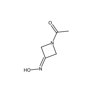 CC(=O)N1CC(=NO)C1